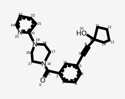 O=C(c1cccc(C#CC2(O)CCCC2)c1)N1CCN(c2ccccn2)CC1